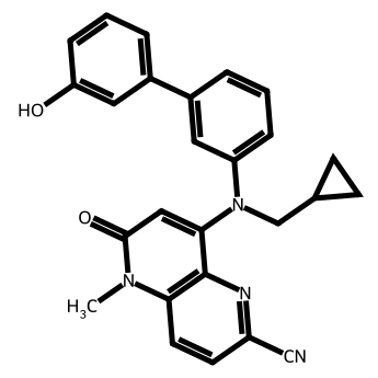 Cn1c(=O)cc(N(CC2CC2)c2cccc(-c3cccc(O)c3)c2)c2nc(C#N)ccc21